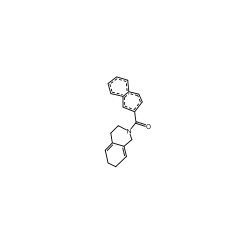 O=C(c1ccc2ccccc2c1)N1CCC2=CCCC=C2C1